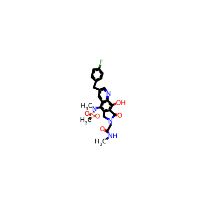 CNC(=O)CN1Cc2c(c(O)c3ncc(Cc4ccc(F)cc4)cc3c2N(C)S(C)(=O)=O)C1=O